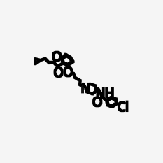 O=C(NC1CCN(CCCCOc2cccc3c2C(=O)/C(=C/CC2CC2)O3)CC1)c1ccc(Cl)cc1